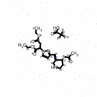 CCOC(=O)CC(C(=O)OCC)n1ccc(/C=C2\CNCCC2SC(C)=O)n1.O=C(O)C(F)(F)F